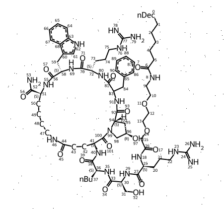 CCCCCCCCCCCCCCCC(=O)NCCOCCOCC(=O)N[C@@H](CCCNC(=N)N)C(=O)N[C@@H](CO)C(=O)N[C@@H](CCCC)C(=O)N[C@H]1CCC(=O)NCCCC[C@@H](C(N)=O)NC(=O)[C@H](Cc2c[nH]c3ccccc23)NC(=O)[C@H](CCCNC(=N)N)NC(=O)C(Cc2ccccc2)NC(=O)[C@@H]2C[C@@H](O)CN2C1=O